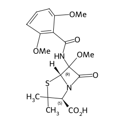 COc1cccc(OC)c1C(=O)NC1(OC)C(=O)N2[C@@H](C(=O)O)C(C)(C)S[C@@H]21